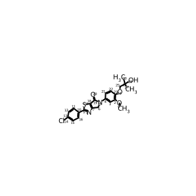 COc1cc(N2Cc3nc(-c4ccc(Cl)cc4)sc3C2=O)ccc1OCC(C)(C)O